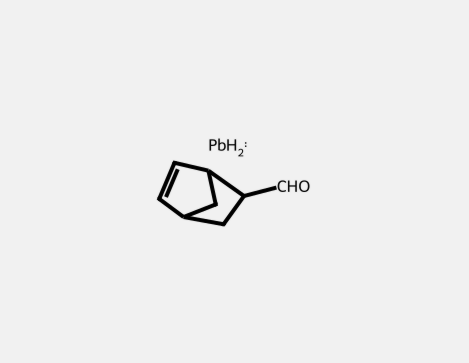 O=CC1CC2C=CC1C2.[PbH2]